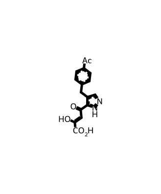 CC(=O)c1ccc(Cc2cn[nH]c2C(=O)C=C(O)C(=O)O)cc1